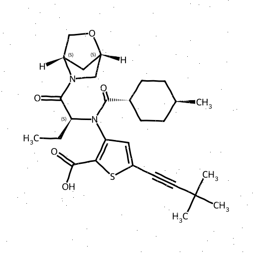 CC[C@@H](C(=O)N1C[C@@H]2C[C@H]1CO2)N(c1cc(C#CC(C)(C)C)sc1C(=O)O)C(=O)[C@H]1CC[C@H](C)CC1